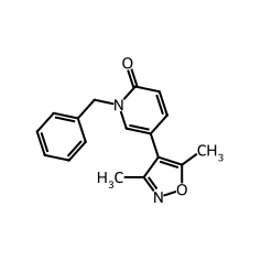 Cc1noc(C)c1-c1ccc(=O)n(Cc2ccccc2)c1